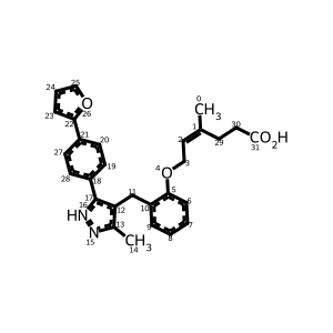 CC(=CCOc1ccccc1Cc1c(C)n[nH]c1-c1ccc(-c2ccco2)cc1)CCC(=O)O